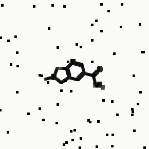 CN1Cc2cc(C(N)=O)cnc2C1